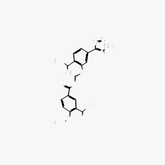 COc1ccc(C(=O)OCOc2cc(-c3nn[nH]n3)ccc2C(C)C)cc1C(C)C